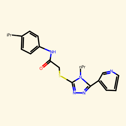 CCCn1c(SCC(=O)Nc2ccc(C(C)C)cc2)nnc1-c1cccnc1